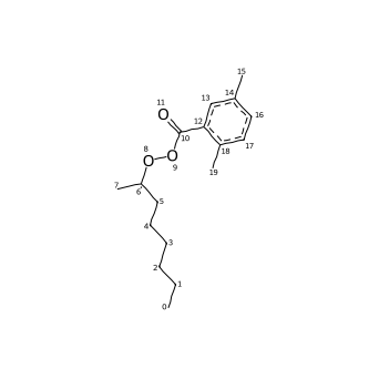 CCCCCC[C](C)OOC(=O)c1cc(C)ccc1C